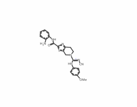 COc1ccc(N/C(=N\C#N)N2CCc3nc(C(=O)Nc4ccccc4N)sc3C2)cc1